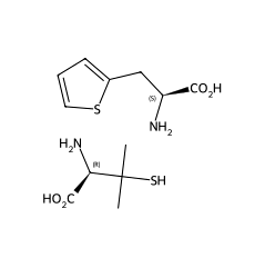 CC(C)(S)[C@H](N)C(=O)O.N[C@@H](Cc1cccs1)C(=O)O